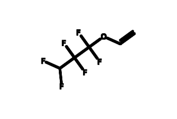 C=COC(F)(F)C(F)(F)C(F)F